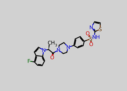 C[C@@H](C(=O)N1CCN(c2ccc(S(=O)(=O)Nc3nccs3)cc2)CC1)n1ccc2c(F)cccc21